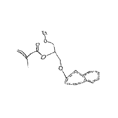 C=C(C)C(=O)OC(COCC)COc1ccc2ccccc2c1